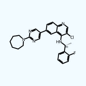 C[C@@H](Nc1c(Cl)cnc2ccc(-c3cnc(N4CCCCCC4)nc3)cc12)c1ccccc1F